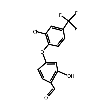 O=Cc1ccc(Oc2ccc(C(F)(F)F)cc2Cl)cc1O